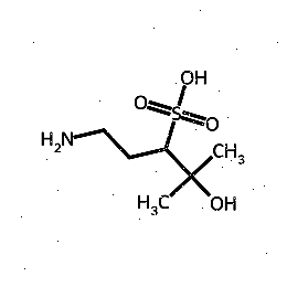 CC(C)(O)C(CCN)S(=O)(=O)O